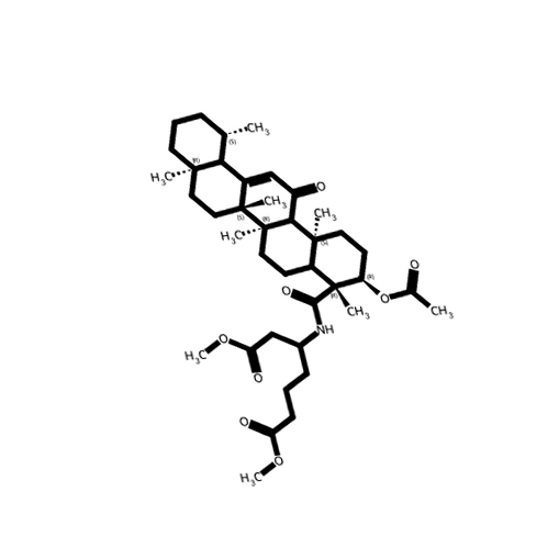 COC(=O)CCCC(CC(=O)OC)NC(=O)[C@]1(C)C2CC[C@]3(C)C(C(=O)C=C4C5[C@@H](C)CCC[C@]5(C)CC[C@]43C)[C@@]2(C)CC[C@H]1OC(C)=O